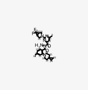 Cc1cc(C(=O)N(N)C(=O)c2ccc(I)cc2N2CCC3(CC2)CC3)nc(N2CC3C(C2)C3(F)F)n1